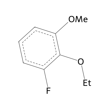 CCOc1c(F)cccc1OC